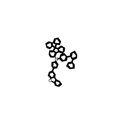 c1ccc(-c2ccccc2-c2ccc(N(c3ccc(-c4ccc5oc6ccccc6c5c4)cc3)c3cccc4c3-c3ccccc3C4(c3ccccc3)c3ccccc3)cc2)cc1